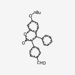 CCCCOc1ccc2c(-c3ccccc3)c(-c3ccc(C=O)cc3)c(=O)oc2c1